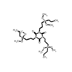 CCC[Si](CCCn1c(=O)n(CCC[Si](CCC)(OC)OC)c(=O)n(CCC[Si](CCC)(OC)OC)c1=O)(OC)OC